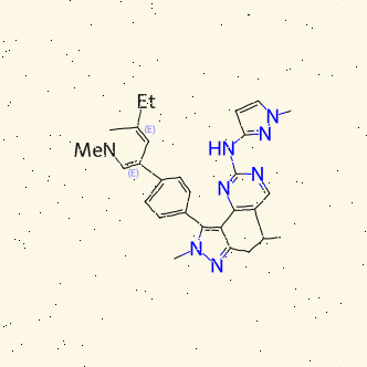 CC/C(C)=C/C(=C\NC)c1ccc(-c2c3c(nn2C)CC(C)c2cnc(Nc4ccn(C)n4)nc2-3)cc1